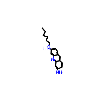 CCCCCCNc1ccc2cc3ccc([NH])cc3nc2c1